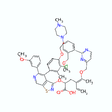 C=C/C(CC(Oc1nsc2cnc(-c3cccc(OC)c3)c(-c3ccc(OCCN4CCN(C)CC4)c(Cl)c3C)c12)C(=O)O)=C(\C)OCc1ccnc(-c2ccccc2COC)n1